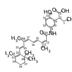 CCC(C(=O)O)c1cc(NC(=O)C=C(C)C=CC=C(C)C=CC2=C(C)CCCC2(C)C)ccc1O